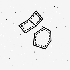 [c]1cc2ccc1-2.[c]1ccccc1